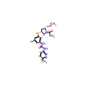 COC[C@H]1C[C@@H](Oc2cc(F)cc(NC(=O)Nc3ccc(C)nc3)c2)CN1C(C)=O